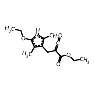 CCOC(=O)C(=C=O)Cc1c(C)[nH]c(OCC)c1C